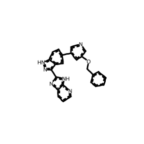 c1ccc(COc2cncc(-c3ccc4[nH]nc(-c5nc6cccnc6[nH]5)c4c3)c2)cc1